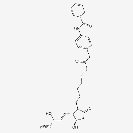 CCCCC[C@H](O)/C=C/[C@H]1[C@H](O)CC(=O)[C@@H]1CCCCCCC(=O)Cc1ccc(NC(=O)c2ccccc2)cc1